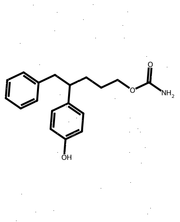 NC(=O)OCCCC(Cc1ccccc1)c1ccc(O)cc1